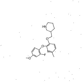 COc1ccc(Oc2nc(C)ccc2OCC2CCCNC2)c(F)c1